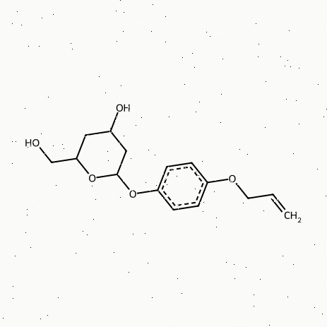 C=CCOc1ccc(OC2CC(O)CC(CO)O2)cc1